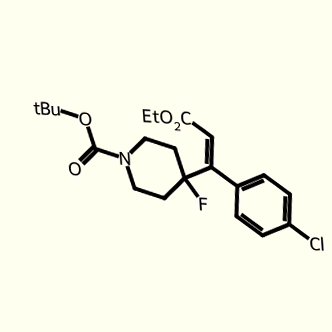 CCOC(=O)/C=C(/c1ccc(Cl)cc1)C1(F)CCN(C(=O)OC(C)(C)C)CC1